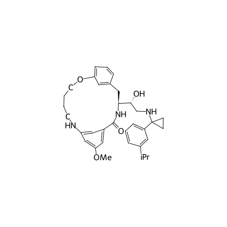 COc1cc2cc(c1)C(=O)N[C@H]([C@H](O)CNC1(c3cccc(C(C)C)c3)CC1)Cc1cccc(c1)OCCCCN2